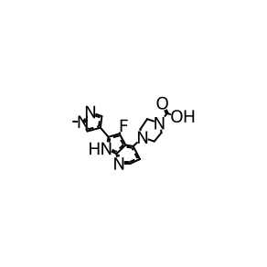 Cn1cc(-c2[nH]c3nccc(N4CCN(C(=O)O)CC4)c3c2F)cn1